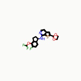 Fc1ccc2c(c1OC(F)F)CC[C@H]2Nc1nccc2cc(C3OCCO3)sc12